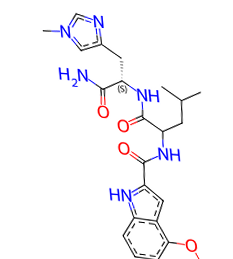 COc1cccc2[nH]c(C(=O)NC(CC(C)C)C(=O)N[C@@H](Cc3cn(C)cn3)C(N)=O)cc12